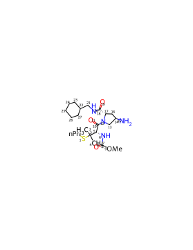 CCCSC(C)(C)[C@@H](NC(=O)OC)C(=O)N1C[C@H](N)C[C@H]1C(=O)NCC1CCCCC1